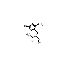 Cc1oc(=O)oc1CN(CC(C)C)[C@@H](C)C(=O)O